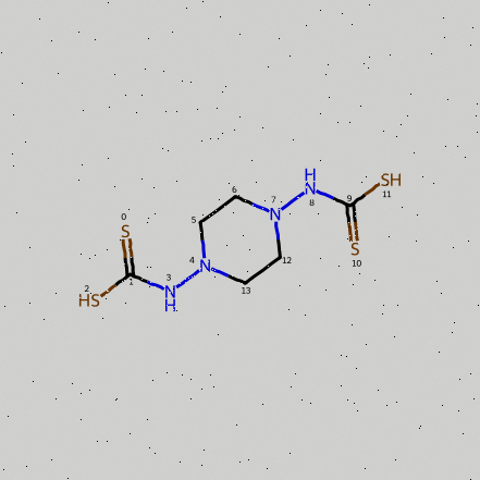 S=C(S)NN1CCN(NC(=S)S)CC1